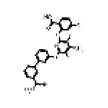 Cc1c(F)c(Oc2cccc(-c3cccc(C(=N)N)c3)c2)nc(Oc2cc(Cl)ccc2C(=O)O)c1F